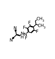 CCC(C)c1c(F)cc(N(F)NC=C(C#N)C#N)c(F)c1F